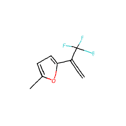 C=C(c1ccc(C)o1)C(F)(F)F